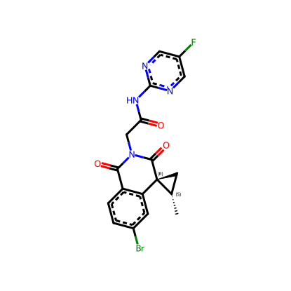 C[C@H]1C[C@@]12C(=O)N(CC(=O)Nc1ncc(F)cn1)C(=O)c1ccc(Br)cc12